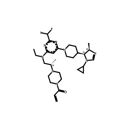 C=CC(=O)N1CCN([C@@H](C)CN(CC)c2cc(N3CCC([C@H]4[C@@H](C)N=CN4C4CC4)CC3)nc(C(F)I)n2)CC1